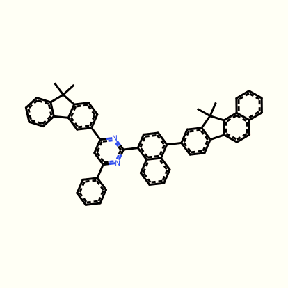 CC1(C)c2ccccc2-c2cc(-c3cc(-c4ccccc4)nc(-c4ccc(-c5ccc6c(c5)C(C)(C)c5c-6ccc6ccccc56)c5ccccc45)n3)ccc21